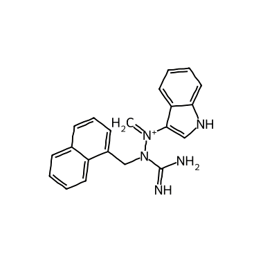 C=[N+](c1c[nH]c2ccccc12)N(Cc1cccc2ccccc12)C(=N)N